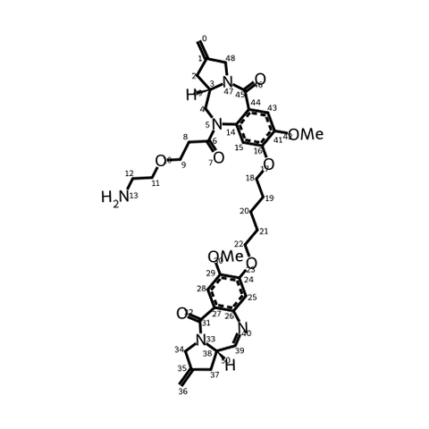 C=C1C[C@H]2CN(C(=O)CCOCCN)c3cc(OCCCCCOc4cc5c(cc4OC)C(=O)N4CC(=C)C[C@H]4C=N5)c(OC)cc3C(=O)N2C1